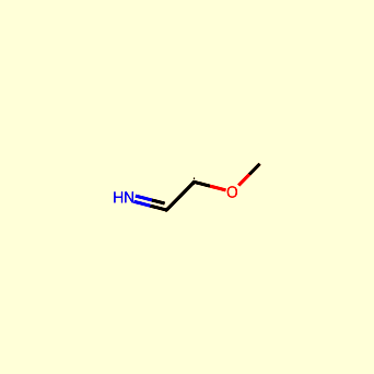 CO[CH]C=N